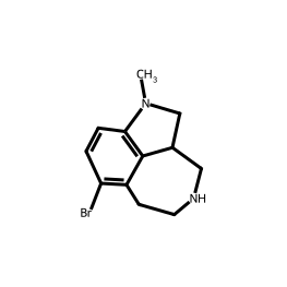 CN1CC2CNCCc3c(Br)ccc1c32